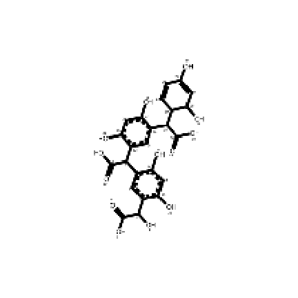 O=C(O)C(O)c1cc(C(C(=O)O)c2cc(C(C(=O)O)C3C=CC(O)=CC3O)c(O)cc2O)c(O)cc1O